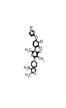 Cc1c(N2CCC3(CC2)CO[C@@H](C)[C@H]3N)nc(C)n(C2=C(Cl)[C@H](Cl)C(Oc3cc[nH]n3)C=C2)c1=O